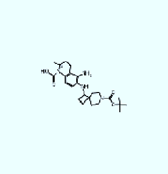 C[C@H]1CCc2c(ccc(NC3CCC34CCN(C(=O)OC(C)(C)C)CC4)c2N)N1C(=O)O